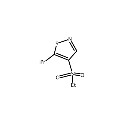 CCS(=O)(=O)c1cnsc1C(C)C